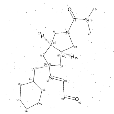 CN(C)C(=O)N1C[C@@H]2C[C@](CC3CCCCC3)(N=CC=O)C[C@@H]2C1